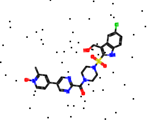 Cc1cc(-c2cnc(C(=O)N3CCN(S(=O)(=O)c4[nH]c5ccc(Cl)cc5c4CO)CC3)nc2)cc[n+]1[O-]